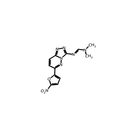 CN(C)C=Nc1nnc2ccc(-c3ccc([N+](=O)[O-])o3)nn12